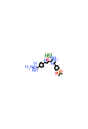 CC(C)S(=O)(=O)c1ccc(-c2cnc(N)c(-c3cc(-c4ccc(CNC(=N)N)cc4)no3)n2)cc1.Cl.Cl